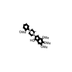 COc1ccccc1N1CCN([C@@H]2Cc3c(cc(OC)c(OC)c3OC)[C@H]2O)CC1